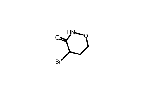 O=C1NOCCC1Br